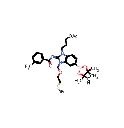 CC(=O)OCCCn1/c(=N/C(=O)c2cccc(C(F)(F)F)c2)n(COCCSC(C)C)c2cc(B3OC(C)(C)C(C)(C)O3)ccc21